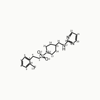 O=S(=O)(CCc1ccccc1F)N1CCC(CNc2ncccn2)CC1